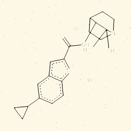 CC1(C)[C@@H](NC(=O)c2cc3cc(C4CC4)ccc3s2)C2CCN1CC2.Cl